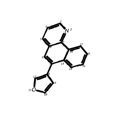 c1cnc2c(c1)cc(-c1ccoc1)c1ccccc12